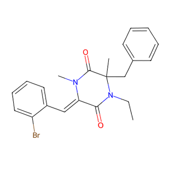 CCN1C(=O)/C(=C/c2ccccc2Br)N(C)C(=O)C1(C)Cc1ccccc1